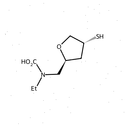 CCN(C[C@@H]1C[C@@H](S)CO1)C(=O)O